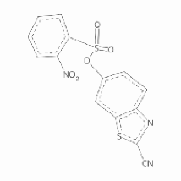 N#Cc1nc2ccc(OS(=O)(=O)c3ccccc3[N+](=O)[O-])cc2s1